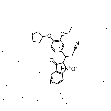 CCOc1cc(C(CC#N)C2C(=O)c3cnccc3[NH+]2[O-])ccc1OC1CCCC1